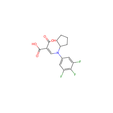 O=C(O)C(=CN(c1cc(F)c(F)c(F)c1)C1CCCC1)C(=O)O